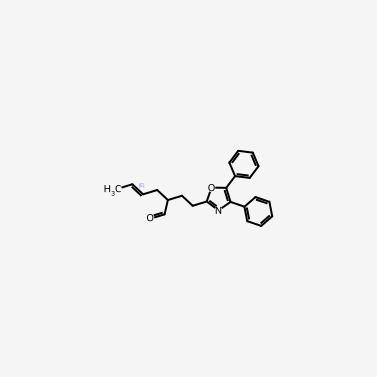 C/C=C/CC(C=O)CCc1nc(-c2ccccc2)c(-c2ccccc2)o1